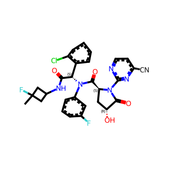 CC1(F)CC(NC(=O)[C@H](c2ccccc2Cl)N(C(=O)[C@@H]2C[C@@H](O)C(=O)N2c2nccc(C#N)n2)c2cccc(F)c2)C1